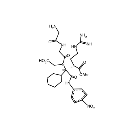 COC(=O)C(CCNC(=N)N)[C@](C(=O)Nc1ccc([N+](=O)[O-])cc1)(C1CCCCC1)N(CC(=O)O)C(=O)CNC(=O)CN